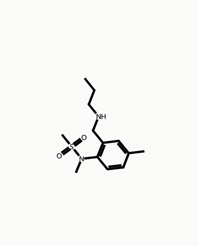 CCCNCc1cc(C)ccc1N(C)S(C)(=O)=O